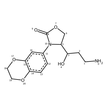 NCCC(O)C1COC(=O)N1c1ccc2c(c1)OCCO2